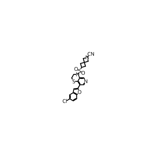 N#CN1CC2(CC(S(=O)(=O)N3CCSc4c(-c5cc6cc(Cl)ccc6o5)cncc43)C2)C1